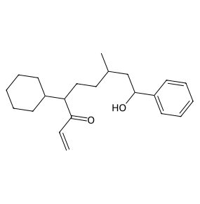 C=CC(=O)C(CCC(C)CC(O)c1ccccc1)C1CCCCC1